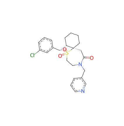 O=C1C[C@]2(CCCC[C@H]2Cc2cccc(Cl)c2)S(=O)(=O)CCN1Cc1cccnc1